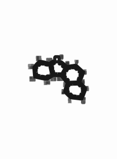 [c]1ccc2c(c1)ccc1oc3ccccc3c12